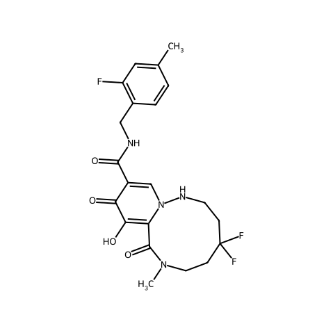 Cc1ccc(CNC(=O)c2cn3c(c(O)c2=O)C(=O)N(C)CCC(F)(F)CCN3)c(F)c1